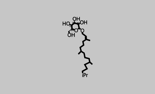 CC(=CCOC1O[C@H](CO)[C@@H](O)[C@H](O)[C@H]1O)CCCC(C)CCCC(C)CCCC(C)C